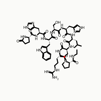 CCNC(=O)[C@@H]1CCCN1C(=O)[C@H](CCCNC(=N)N)NC(=O)[C@H](CC(C)C)NC(=O)[C@@H](CC(C)C)NC(=O)[C@H](Cc1c[nH]cn1)NC(=O)[C@H](CO)NC(=O)[C@H](Cc1c[nH]c2ccccc12)NC(=O)[C@H](Cc1c[nH]cn1)NC(=O)[C@@H]1CCC(=O)N1